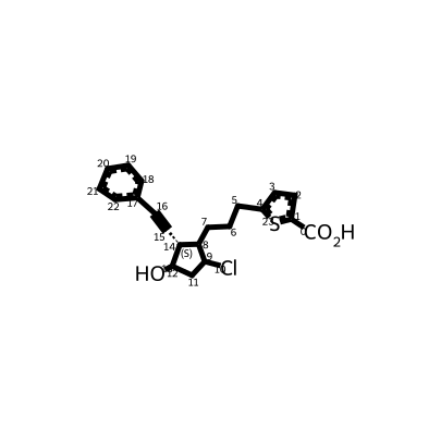 O=C(O)c1ccc(CCCC2C(Cl)CC(O)[C@@H]2C#Cc2ccccc2)s1